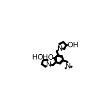 CN(C)Cc1cc(CN2CCC(O)C2)c(O)c(CN2CCC(O)C2)c1